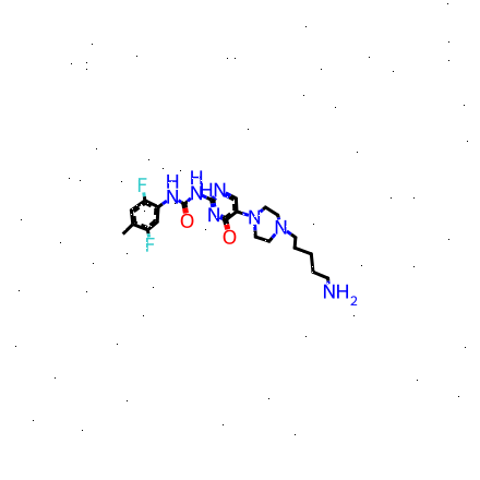 Cc1cc(F)c(NC(=O)Nc2nc(=O)c(N3CCN(CCCCCN)CC3)c[nH]2)cc1F